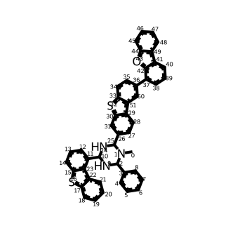 CN1C(c2ccccc2)NC(c2cccc3sc4ccccc4c23)NC1c1ccc2c(c1)sc1ccc(-c3cccc4c3oc3ccccc34)cc12